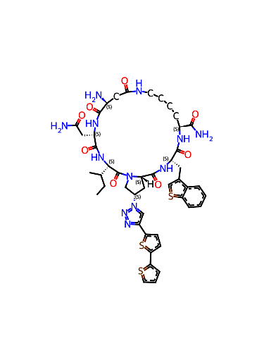 CCC(C)[C@@H]1NC(=O)[C@H](CC(N)=O)NC(=O)[C@@H](N)CC(=O)NCCCC[C@@H](C(N)=O)NC(=O)[C@H](Cc2csc3ccccc23)NC(=O)[C@@H]2C[C@H](n3cc(-c4ccc(-c5cccs5)s4)nn3)CN2C1=O